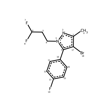 Cc1nn(CCC(F)F)c(-c2ccc(F)cc2)c1Br